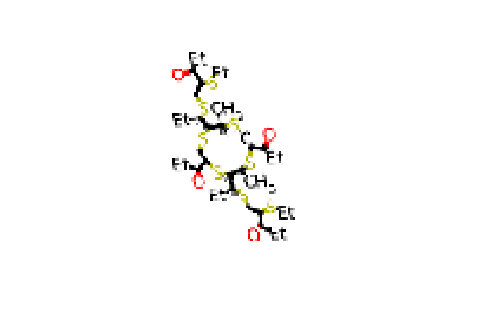 CCSC(CS[C@@H](CC)[C@@H]1SC(C(=O)CC)CS[C@@H]([C@@H](CC)SCC(SCC)C(=O)CC)[C@H](C)SCC(C(=O)CC)S[C@H]1C)C(=O)CC